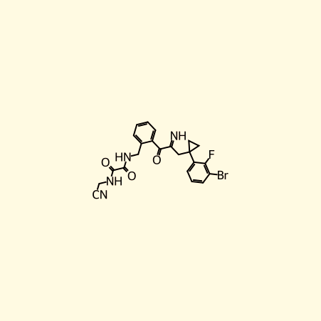 N#CCNC(=O)C(=O)NCc1ccccc1C(=O)C(=N)CC1(c2cccc(Br)c2F)CC1